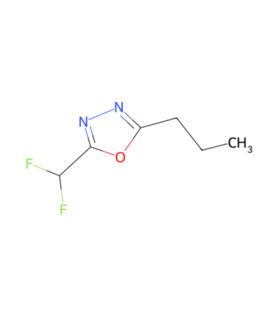 CCCc1nnc(C(F)F)o1